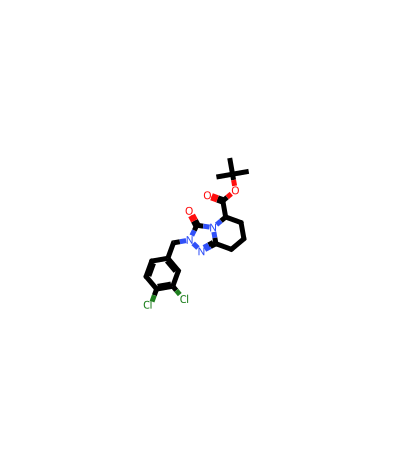 CC(C)(C)OC(=O)C1CCCc2nn(Cc3ccc(Cl)c(Cl)c3)c(=O)n21